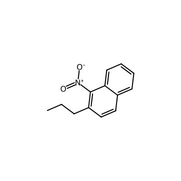 CCCc1ccc2ccccc2c1[N+](=O)[O-]